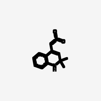 CC1(C)C=C(C=S(=O)=O)c2ccccc2N1